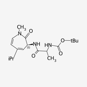 CC(C)C1=C[C@H](NC(=O)C(C)NC(=O)OC(C)(C)C)C(=O)N(C)C=C1